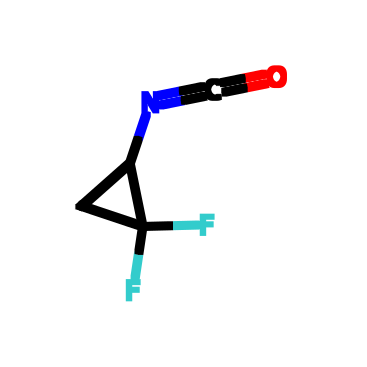 O=C=NC1CC1(F)F